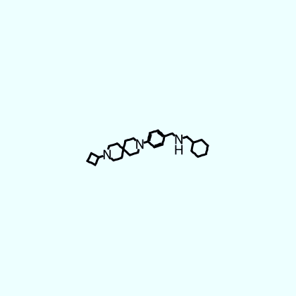 c1cc(N2CCC3(CC2)CCN(C2CCC2)CC3)ccc1CNCC1CCCCC1